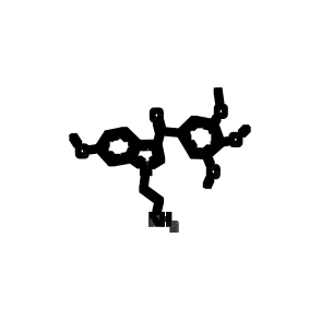 COc1ccc2c(C(=O)c3cc(OC)c(OC)c(OC)c3)cn(CCN)c2c1